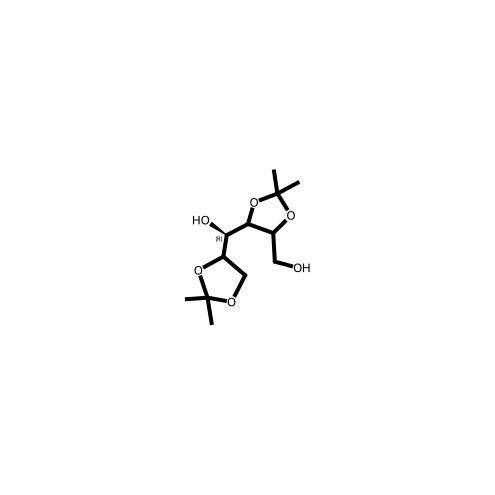 CC1(C)OCC([C@@H](O)C2OC(C)(C)OC2CO)O1